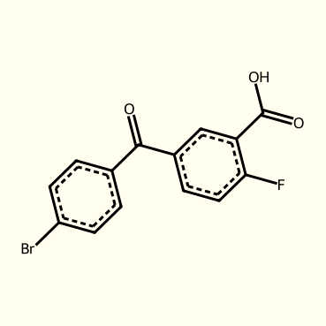 O=C(c1ccc(Br)cc1)c1ccc(F)c(C(=O)O)c1